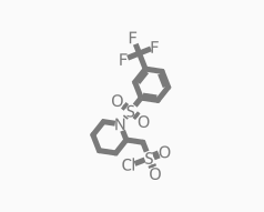 O=S(=O)(Cl)CC1CCCCN1S(=O)(=O)c1cccc(C(F)(F)F)c1